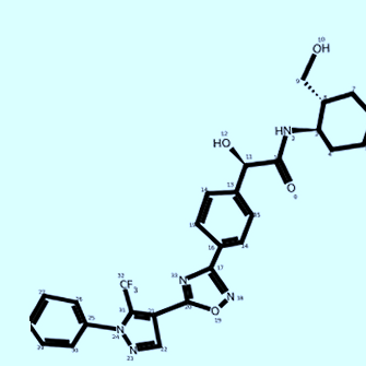 O=C(N[C@@H]1CCCC[C@H]1CO)[C@H](O)c1ccc(-c2noc(-c3cnn(-c4ccccc4)c3C(F)(F)F)n2)cc1